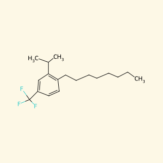 CCCCCCCCc1ccc(C(F)(F)F)cc1C(C)C